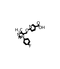 Cc1nnn(-c2ccc(F)cc2)c1COc1ccc(C(=O)O)cn1